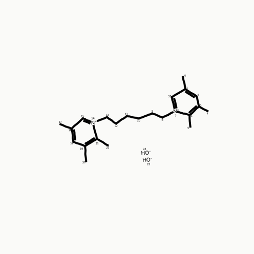 Cc1cc(C)c(C)[n+](CCCCCC[n+]2cc(C)cc(C)c2C)c1.[OH-].[OH-]